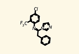 FC(F)(F)c1cc(Cl)ccc1N=C(Cc1ccccc1)n1ccnc1